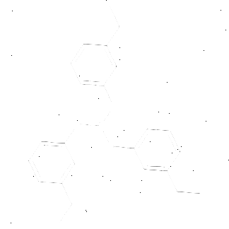 CCc1cccc(OP(Oc2cccc(CC)c2)Oc2cccc(CC)c2)c1